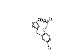 CCOC(=O)c1cnn(Cc2cc(Cl)ccc2OCC(CC)CC)c1